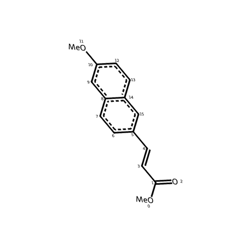 COC(=O)C=Cc1ccc2cc(OC)ccc2c1